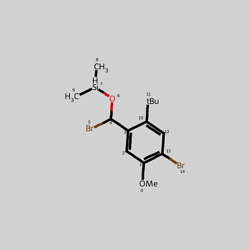 COc1cc(C(Br)O[SiH](C)C)c(C(C)(C)C)cc1Br